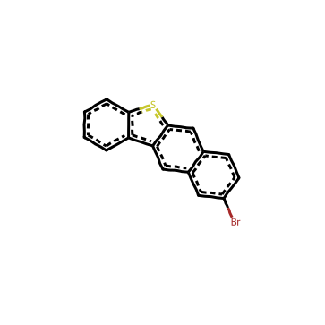 Brc1ccc2cc3sc4ccccc4c3cc2c1